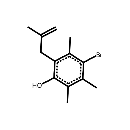 C=C(C)Cc1c(C)c(Br)c(C)c(C)c1O